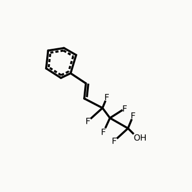 OC(F)(F)C(F)(F)C(F)(F)C=Cc1ccccc1